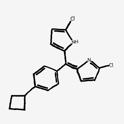 ClC1=N/C(=C(/c2ccc(C3CCC3)cc2)c2ccc(Cl)[nH]2)C=C1